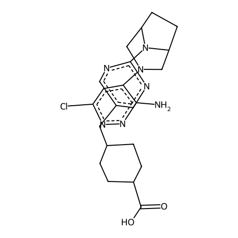 Nc1nnc(Cl)cc1N1CC2CCC(C1)N2c1ncc(CC2CCC(C(=O)O)CC2)cn1